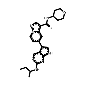 CCC(C)Nc1ncc2c(-c3ccn4ncc(C(=O)NC5CCOCC5)c4c3)c[nH]c2n1